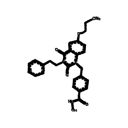 COCCOc1ccc2c(c1)c(=O)n(CCc1ccccc1)c(=O)n2Cc1ccc(C(=O)NO)cc1